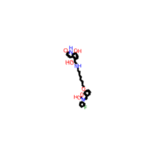 O=C(O)N(Cc1cccc(OCCCCCCCCCNC[C@H](O)c2ccc(O)c3[nH]c(=O)ccc23)c1)c1cccc(F)c1